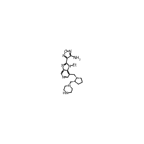 CCn1c(-c2nonc2N)nc2cncc(C[C@H]3CCC[C@H]3CN3CCNCC3)c21